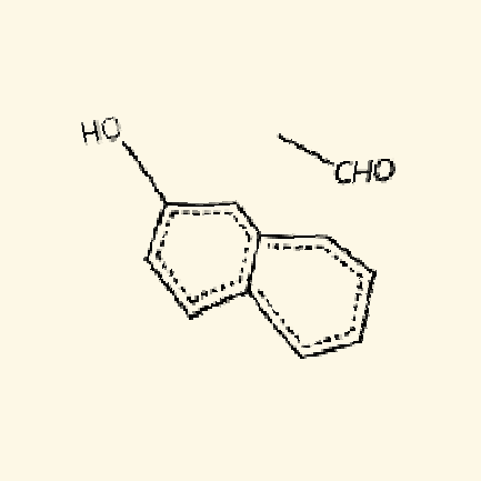 CC=O.Oc1ccc2ccccc2c1